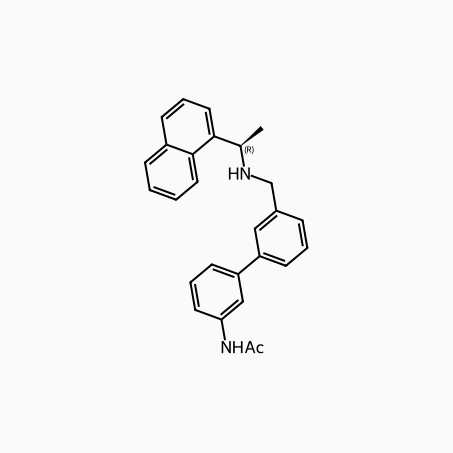 CC(=O)Nc1cccc(-c2cccc(CN[C@H](C)c3cccc4ccccc34)c2)c1